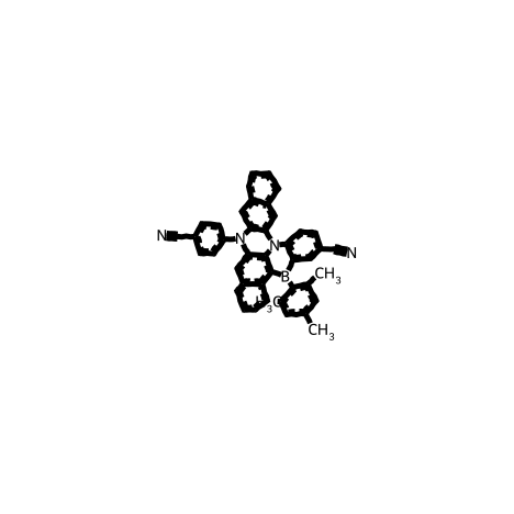 Cc1cc(C)c(B2c3cc(C#N)ccc3N3c4cc5ccccc5cc4N(c4ccc(C#N)cc4)c4cc5ccccc5c2c43)c(C)c1